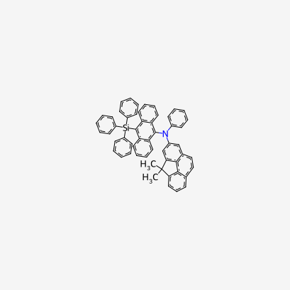 CC1(C)c2cccc3ccc4cc(N(c5ccccc5)c5c6ccccc6c([Si](c6ccccc6)(c6ccccc6)c6ccccc6)c6ccccc56)cc1c4c23